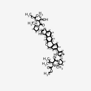 COC(=O)NC(C(=O)N1[C@@H](C)CC[C@H]1c1nc2ccc3cc4c(cc3c2[nH]1)OCc1cc(-c2cnc([C@@H]3CC[C@H](C)N3C(=O)[C@@H](NC(=O)OC)C(C)C)[nH]2)ccc1-4)[C@H](C)O